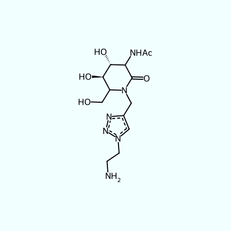 CC(=O)NC1C(=O)N(Cc2cn(CCN)nn2)C(CO)[C@@H](O)[C@@H]1O